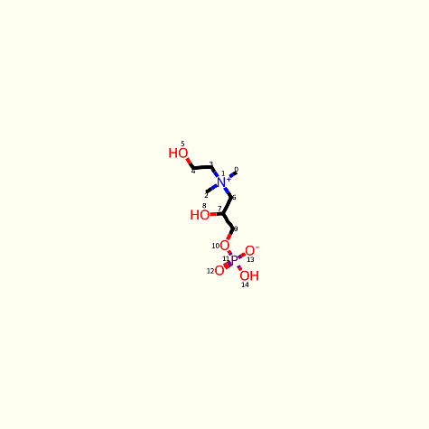 C[N+](C)(CCO)CC(O)COP(=O)([O-])O